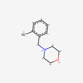 N#Cc1ccccc1CN1CCOCC1